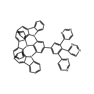 c1ccc2c(c1)c1ccccc1n2-c1cc(-c2cc(-c3ccncn3)c(-c3ccncn3)c(-c3ccncn3)c2)cc(-n2c3ccccc3c3ccccc32)c1-n1c2ccccc2c2ccccc21